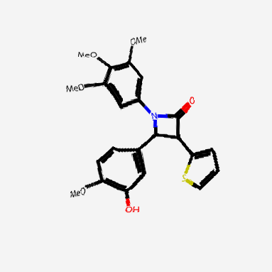 COc1ccc(C2C(c3cccs3)C(=O)N2c2cc(OC)c(OC)c(OC)c2)cc1O